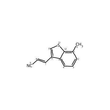 Cc1cccc2c(C=CC#N)csc12